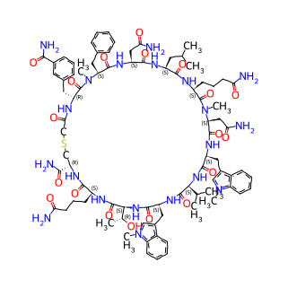 CC(C)C[C@@H]1NC(=O)[C@H](CC(N)=O)NC(=O)[C@H](Cc2ccccc2)N(C)C(=O)[C@@H](Cc2cccc(C(N)=O)c2)NC(=O)CSC[C@@H](C(N)=O)NC(=O)[C@H](CCCC(N)=O)NC(=O)[C@H]([C@@H](C)O)NC(=O)[C@H](Cc2cn(C)c3ccccc23)NC(=O)[C@H](C(C)C)NC(=O)[C@H](Cc2cn(C)c3ccccc23)NC(=O)[C@H](CC(N)=O)N(C)C(=O)[C@H](CCCC(N)=O)NC1=O